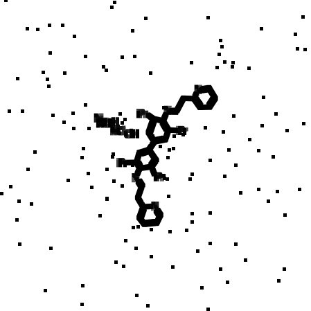 CC(C)c1cc(-c2cc(C(C)C)c(N=CCc3ccccn3)c(C(C)C)c2)cc(C(C)C)c1N=CCc1ccccn1.Cl.Cl.Cl.Cl.[Ni].[Ni]